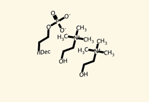 CCCCCCCCCCCCOP(=O)([O-])[O-].C[N+](C)(C)CCO.C[N+](C)(C)CCO